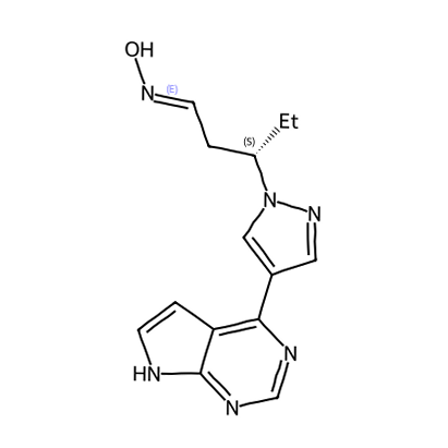 CC[C@@H](C/C=N/O)n1cc(-c2ncnc3[nH]ccc23)cn1